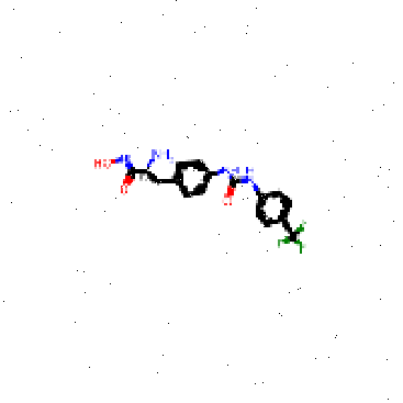 N[C@@H](Cc1ccc(NC(=O)Nc2ccc(C(F)(F)F)cc2)cc1)C(=O)NO